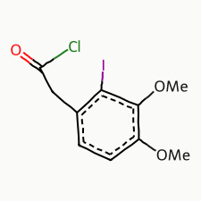 COc1ccc(CC(=O)Cl)c(I)c1OC